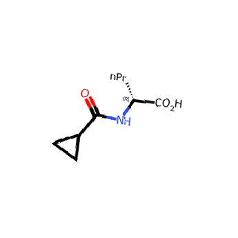 CCC[C@@H](NC(=O)C1CC1)C(=O)O